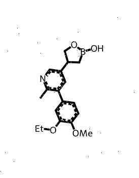 CCOc1cc(-c2cc(C3COB(O)C3)cnc2C)ccc1OC